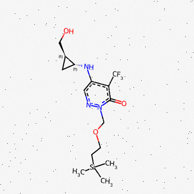 C[Si](C)(C)CCOCn1ncc(N[C@@H]2C[C@H]2CO)c(C(F)(F)F)c1=O